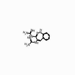 N=C(N)NC1=Cc2ccccc2NN=C1NC(=N)N